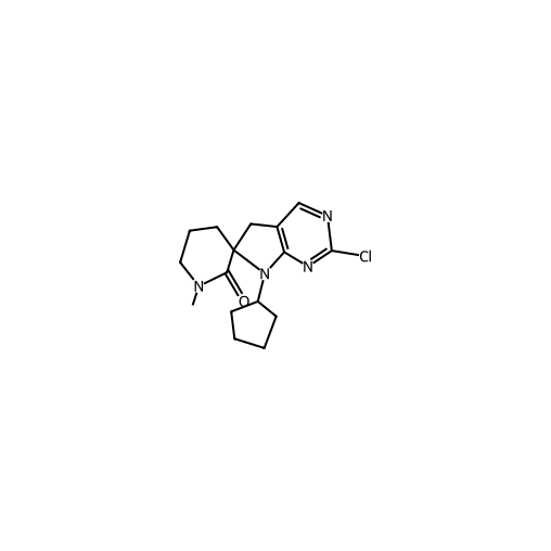 CN1CCCC2(Cc3cnc(Cl)nc3N2C2CCCC2)C1=O